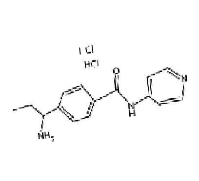 CCC(N)c1ccc(C(=O)Nc2ccncc2)cc1.Cl.Cl